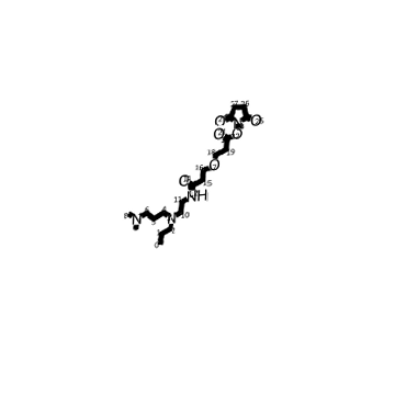 CCCN(CCCN(C)C)CCNC(=O)CCOCCC(=O)ON1C(=O)CCC1=O